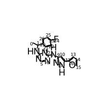 CC(Nc1ncnc(Nc2cc(-c3ccco3)[nH]n2)n1)c1ccc(F)cc1